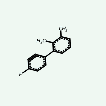 Cc1cccc(-c2c#cc(F)cc2)c1C